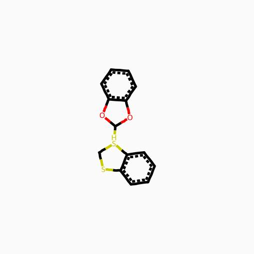 c1ccc2c(c1)OC([SH]1CSc3ccccc31)O2